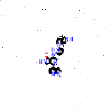 Cn1ccc2c(-c3ncc(Nc4cccc(N5CC[C@@H]6CNC[C@@]65C)n4)c4c3CNC4=O)ccnc21